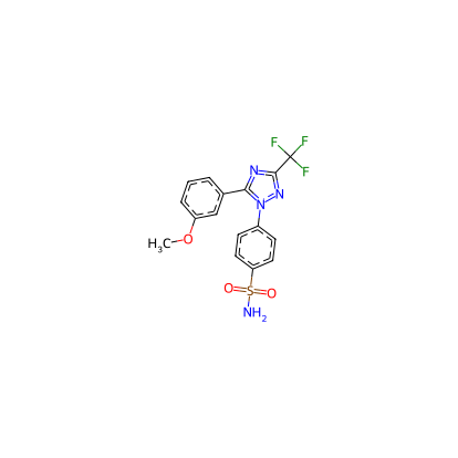 COc1cccc(-c2nc(C(F)(F)F)nn2-c2ccc(S(N)(=O)=O)cc2)c1